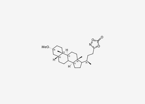 CO[C@@H]1CC[C@@]2(C)[C@H](CCC3[C@@H]2CC[C@]2(C)C([C@H](C)CCc4noc(=O)o4)CC[C@@H]32)C1